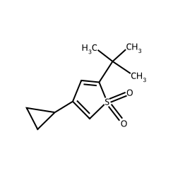 CC(C)(C)C1=CC(C2CC2)=CS1(=O)=O